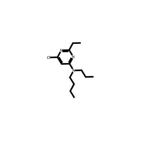 CCCCN(CCC)c1cc(Cl)nc(CC)n1